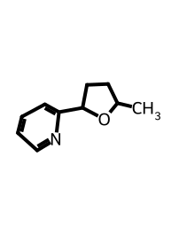 CC1CCC(c2ccccn2)O1